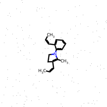 C/C=C\C1=C(C)N(c2ccccc2/C=C\C)CC1